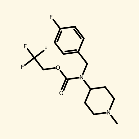 CN1CCC(N(Cc2ccc(F)cc2)C(=O)OCC(F)(F)F)CC1